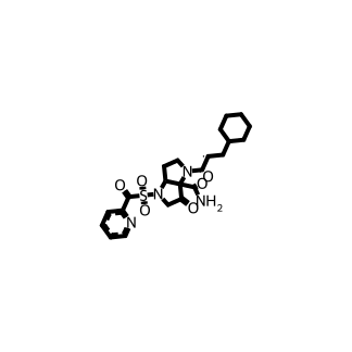 NC(=O)C12C(=O)CN(S(=O)(=O)C(=O)c3ccccn3)C1CCN2C(=O)[CH]CC1CCCCC1